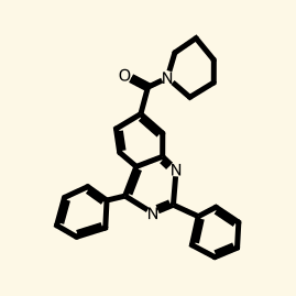 O=C(c1ccc2c(-c3ccccc3)nc(-c3ccccc3)nc2c1)N1CCCCC1